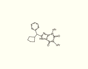 CCCn1c(=O)c2[nH]c(C(c3ccccc3)C3CCCC3)nc2n(CCC)c1=O